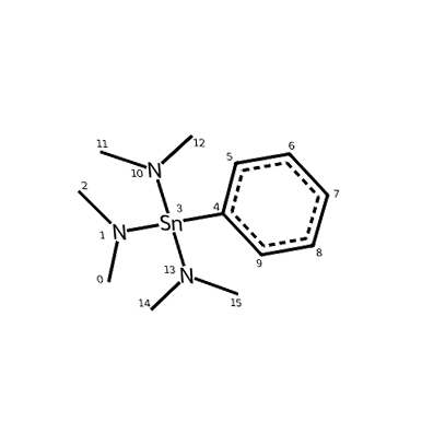 C[N](C)[Sn]([c]1ccccc1)([N](C)C)[N](C)C